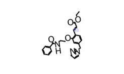 CCOC(=O)/C=C/c1ccc(Cn2cccn2)cc1OCCNC(=O)c1ccccc1